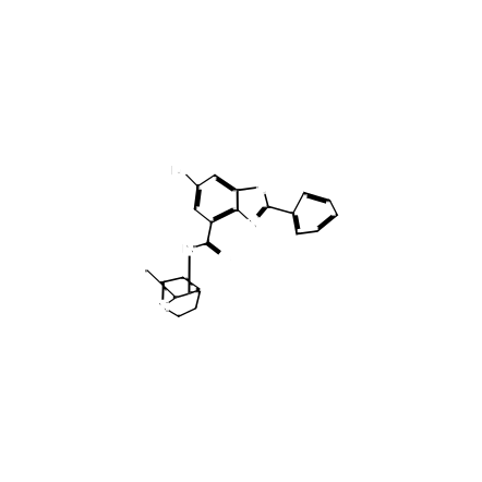 O=C(NC1C2CCN(CC2)C1I)c1cc(Br)cc2oc(-c3ccccc3)nc12